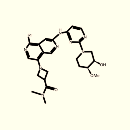 CO[C@H]1CCN(c2nccc(Nc3cc4c(C(C)C)ncc(N5CC(C(=O)N(C)C)C5)c4cn3)n2)C[C@H]1O